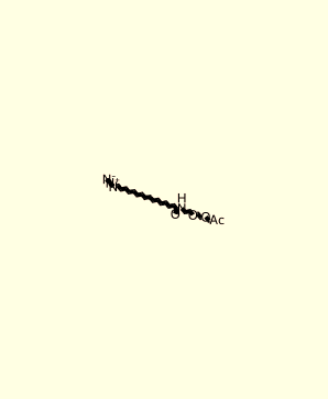 CC(=O)COCCOCCNC(=O)CCCCCCCCCCCCCCCN=[N+]=[N-]